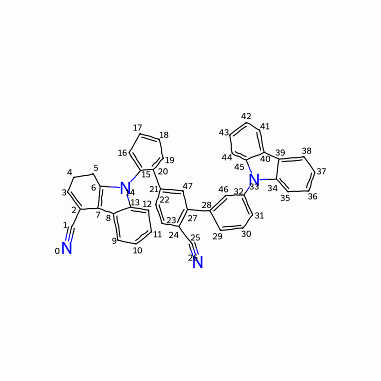 N#CC1=CCCc2c1c1ccccc1n2-c1ccccc1-c1ccc(C#N)c(-c2cccc(-n3c4ccccc4c4ccccc43)c2)c1